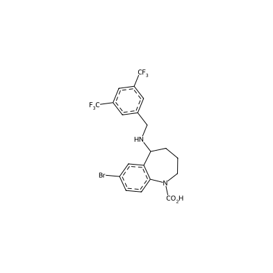 O=C(O)N1CCCC(NCc2cc(C(F)(F)F)cc(C(F)(F)F)c2)c2cc(Br)ccc21